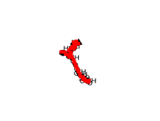 Cn1ncc(-c2nc(NC3CCC(N(CC(=O)NCCOCCOCCOCCNC(=O)NCc4cc5c(s4)C(=O)N(C4CCC(=O)NC4=O)C5)C(=O)OCc4ccccc4)CC3)ncc2Cl)c1CC1CC1